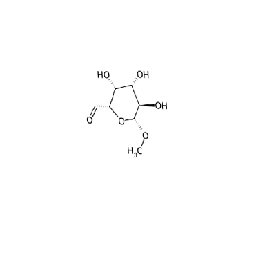 CO[C@@H]1O[C@H](C=O)[C@H](O)[C@H](O)[C@H]1O